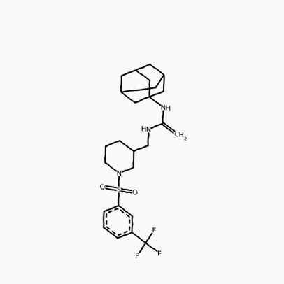 C=C(NCC1CCCN(S(=O)(=O)c2cccc(C(F)(F)F)c2)C1)NC12CC3CC(CC(C3)C1)C2